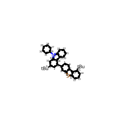 CC(C)(C)c1cc(-c2ccc3c(c2)sc2cccc(C(C)(C)C)c23)c2c3ccccc3n(-c3ccccc3)c2c1